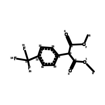 COC(=O)C(C(=O)OC)c1ccc(C(F)(F)F)cc1